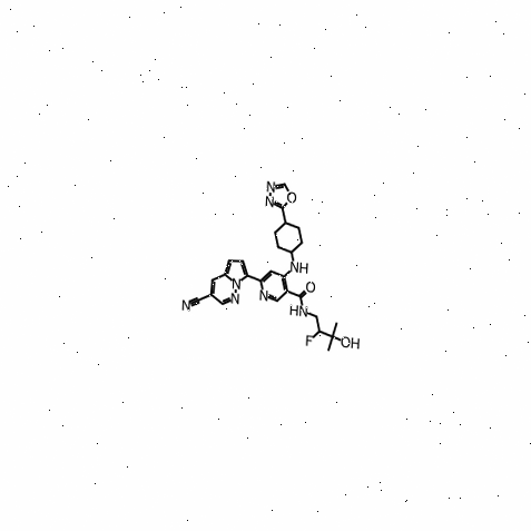 CC(C)(O)C(F)CNC(=O)c1cnc(-c2ccc3cc(C#N)cnn23)cc1NC1CCC(c2nnco2)CC1